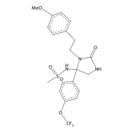 COc1ccc(CCN2C(=O)NCC2(NS(C)(=O)=O)c2ccc(OC(F)(F)F)cc2)cc1